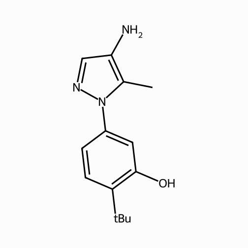 Cc1c(N)cnn1-c1ccc(C(C)(C)C)c(O)c1